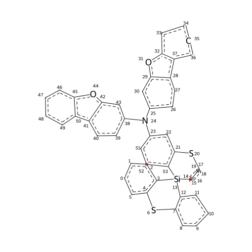 c1ccc2c(c1)Sc1ccccc1[Si]21c2ccccc2Sc2cc(N(c3ccc4c(c3)oc3ccccc34)c3ccc4c(c3)oc3ccccc34)ccc21